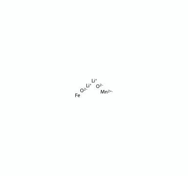 [Fe].[Li+].[Li+].[Mn+2].[O-2].[O-2]